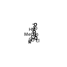 COc1cc(NC(=O)Cc2ccccc2C)ccc1C(=O)N1CCCC(OC(=O)CN(C)C)c2cc(Cl)ccc21